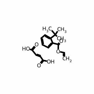 C=COC(=O)c1ccccc1C(C)(C)C.O=C(O)C=CC(=O)O